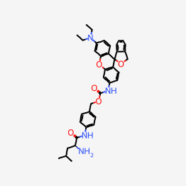 CCN(CC)c1ccc2c(c1)Oc1cc(NC(=O)OCc3ccc(NC(=O)[C@@H](N)CC(C)C)cc3)ccc1C21OCc2ccccc21